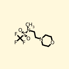 CN(CCN1CCOCC1)S(=O)(=O)C(F)(F)F